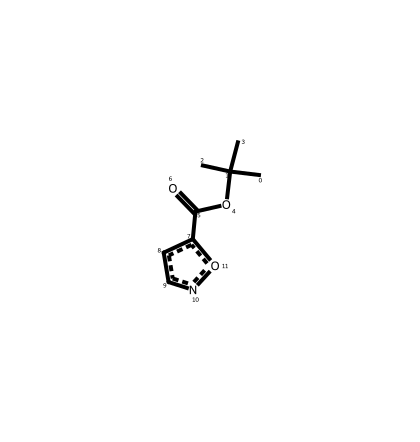 CC(C)(C)OC(=O)c1ccno1